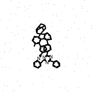 Cc1ccc2c(c1-c1cccc(C#N)c1)-c1c(-c3ccc(-c4nc(-c5ccccc5)nc(-c5ccccc5)n4)cc3)cccc1C21C2CC3CC(C2)CC1C3